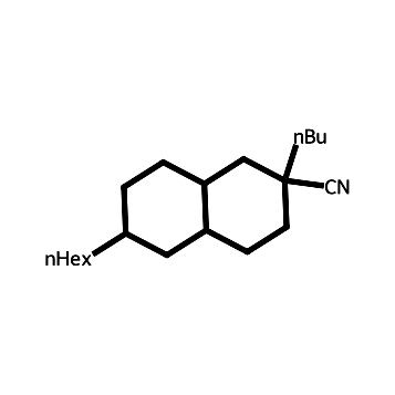 CCCCCCC1CCC2CC(C#N)(CCCC)CCC2C1